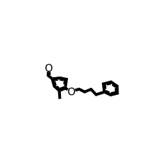 Cc1cc(C=O)ccc1OCCCCc1ccccc1